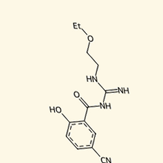 CCOCCNC(=N)NC(=O)c1cc(C#N)ccc1O